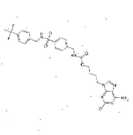 CC(F)(F)c1ccc(CNS(=O)(=O)c2ccc(CNC(=O)OCCCCn3cnc4c(N)nc(Cl)nc43)cc2)cc1